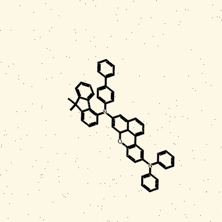 CC1(C)c2ccccc2-c2c(N(C3=CC4Oc5ccc(N(c6ccccc6)c6ccccc6)cc5C5=CC=CC(=C3)C54)c3ccc(-c4ccccc4)cc3)cccc21